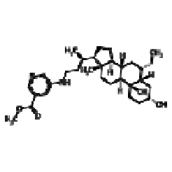 CC[C@H]1C[C@@H]2[C@H](CC[C@]3(C)[C@@H]([C@H](C)CCNc4cncc(C(=O)OC)c4)CC[C@@H]23)[C@@]2(C)CC[C@@H](O)C[C@@H]12